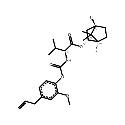 C=CCc1ccc(OC(=O)N[C@H](C(=O)O[C@@H]2C[C@@H]3CC[C@]2(C)C3(C)C)C(C)C)c(OC)c1